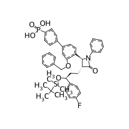 CC(C)(C)[Si](C)(C)O[C@@H](CC[C@H]1C(=O)N(c2ccccc2)[C@@H]1c1ccc(-c2ccc(P(=O)(O)O)cc2)cc1OCc1ccccc1)c1ccc(F)cc1